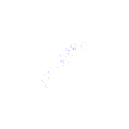 Cn1cncc1S(=O)(=O)N1CCC(COc2cccc(NC(=O)Nc3csc(-c4ccncc4)n3)n2)C1